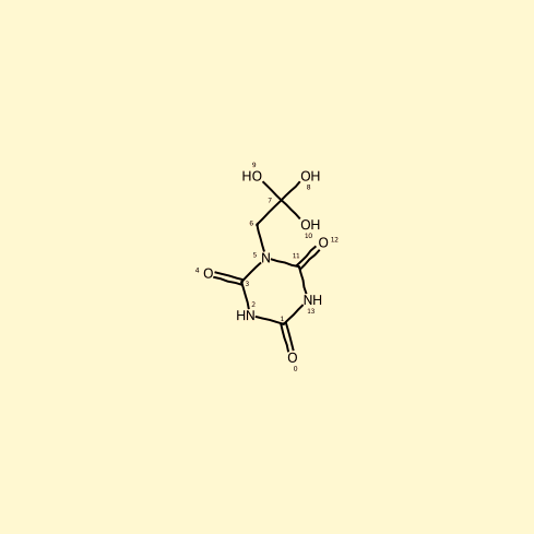 O=c1[nH]c(=O)n(CC(O)(O)O)c(=O)[nH]1